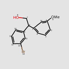 COc1cccc(C(CO)c2cccc(Br)c2)c1